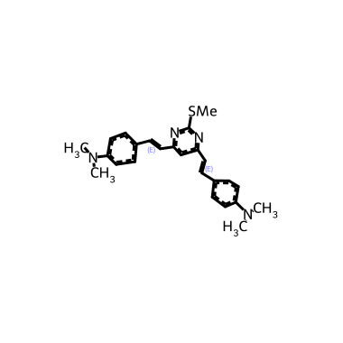 CSc1nc(/C=C/c2ccc(N(C)C)cc2)cc(/C=C/c2ccc(N(C)C)cc2)n1